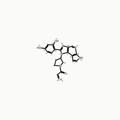 C=CC(=O)N1CCC(n2c(-c3ccc(O)cc3O)nc3cnc4[nH]ccc4c32)C1